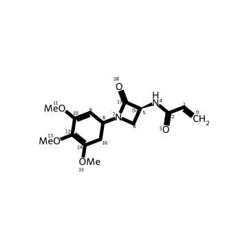 C=CC(=O)N[C@H]1CN(C2C=C(OC)C(OC)=C(OC)C2)C1=O